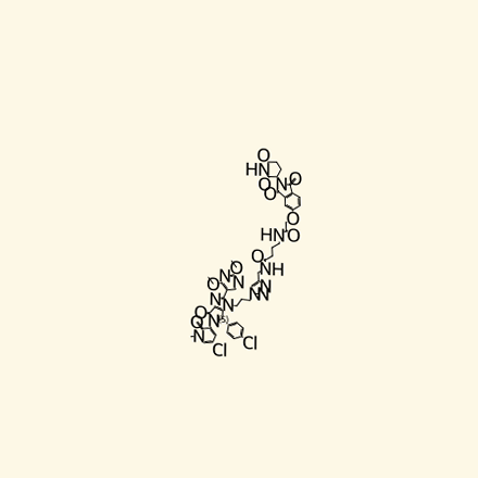 COc1ncc(-c2nc3c(n2CCCn2cc(CNC(=O)CCCNC(=O)COc4ccc5c(c4)C(=O)N(C4CCC(=O)NC4=O)C5=O)nn2)[C@H](c2ccc(Cl)cc2)N(c2cc(Cl)cn(C)c2=O)C3=O)c(OC)n1